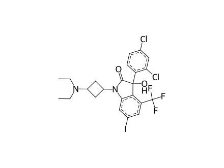 CCN(CC)C1CC(N2C(=O)C(O)(c3ccc(Cl)cc3Cl)c3c2cc(I)cc3C(F)(F)F)C1